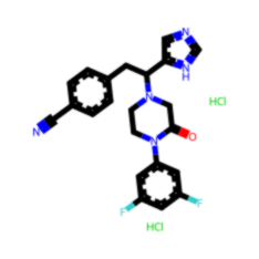 Cl.Cl.N#Cc1ccc(CC(c2cnc[nH]2)N2CCN(c3cc(F)cc(F)c3)C(=O)C2)cc1